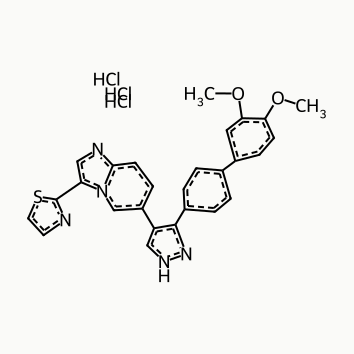 COc1ccc(-c2ccc(-c3n[nH]cc3-c3ccc4ncc(-c5nccs5)n4c3)cc2)cc1OC.Cl.Cl.Cl